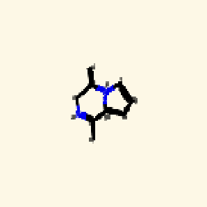 CC1=NCC(C)n2cccc21